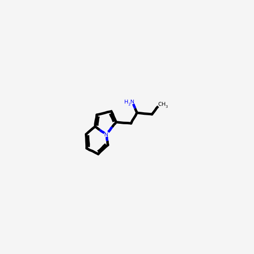 CCC(N)Cc1ccc2ccccn12